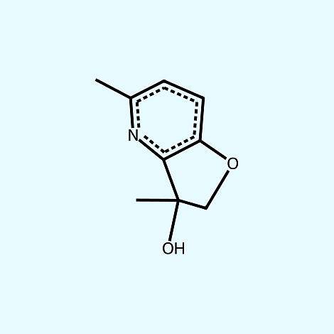 Cc1ccc2c(n1)C(C)(O)CO2